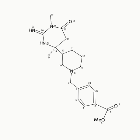 COC(=O)c1ccc(CN2CCCC([C@]3(C)CC(=O)N(C)C(=N)N3)C2)cc1